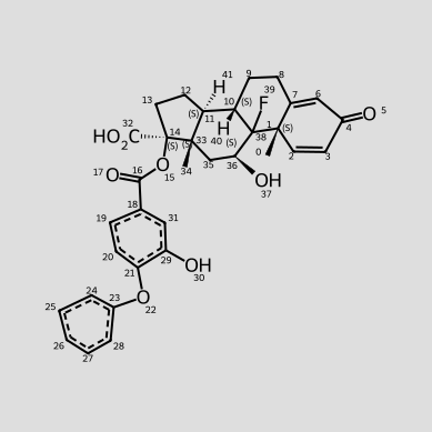 C[C@]12C=CC(=O)C=C1CC[C@H]1[C@@H]3CC[C@@](OC(=O)c4ccc(Oc5ccccc5)c(O)c4)(C(=O)O)[C@@]3(C)C[C@H](O)C12F